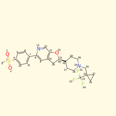 CS(=O)(=O)c1ccc(-c2cc3c(cn2)O[C@@H](C2CCN(CC4(C(F)(F)F)CC4)CC2)C3)cc1